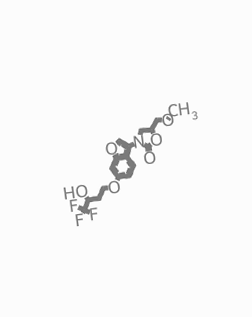 COCC1CN(c2coc3cc(OCCC(O)C(F)(F)F)ccc23)C(=O)O1